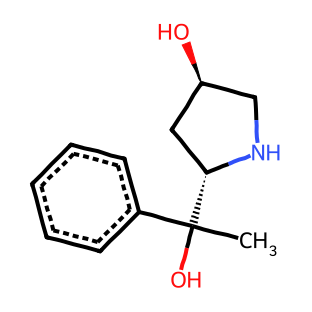 CC(O)(c1ccccc1)[C@@H]1C[C@@H](O)CN1